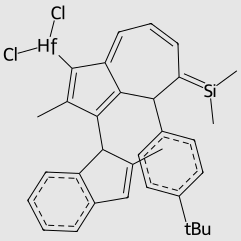 CC1=Cc2ccccc2C1C1=C2C(=CC=CC(=[Si](C)C)C2c2ccc(C(C)(C)C)cc2)[C]([Hf]([Cl])[Cl])=C1C